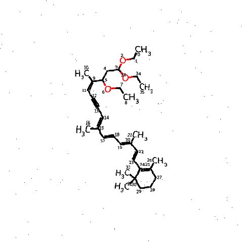 CCOC(CC(OCC)C(C)=CC#CC=C(C)C=CC=C(C)C=CC1=C(C)CCCC1(C)C)OCC